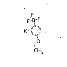 CCOc1ccc([B-](F)(F)F)cc1.[K+]